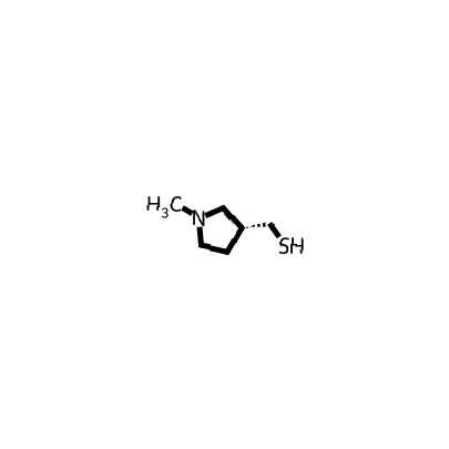 CN1CC[C@@H](CS)C1